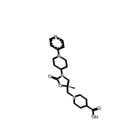 C[C@]1(CN2CCC(C(=O)O)CC2)CN(C2CCN(c3ccncc3)CC2)C(=O)O1